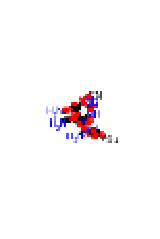 Cc1cc(OCC(C)(C)C)ccc1C(=O)N[C@@H](CCN)C(=O)N(C)[C@@H]1C(=O)N[C@@H](C)C(=O)N[C@H](C(=O)NCC#N)Cc2ccc(OCCN)c(c2)-c2cc1ccc2OCCN